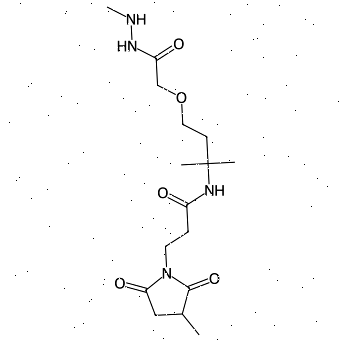 CNNC(=O)COCCC(C)(C)NC(=O)CCN1C(=O)CC(C)C1=O